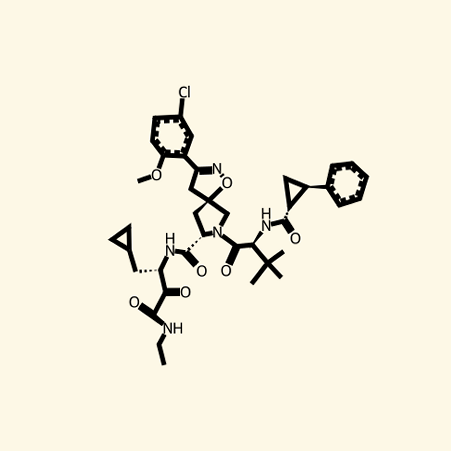 CCNC(=O)C(=O)[C@H](CC1CC1)NC(=O)[C@@H]1C[C@]2(CC(c3cc(Cl)ccc3OC)=NO2)CN1C(=O)[C@@H](NC(=O)[C@@H]1C[C@H]1c1ccccc1)C(C)(C)C